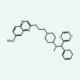 COc1ccc2ncc(SCCN3CCC(N(C)C(C4=CC=CCC4)C4=COC=CO4)CC3)nc2c1